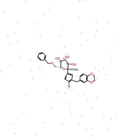 COC1(c2ccc(Br)c(Cc3ccc4c(c3)OCCO4)c2)O[C@H](COCc2ccccc2)[C@@H](O)[C@H](O)[C@H]1O